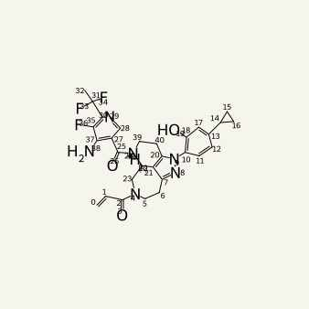 C=CC(=O)N1CCc2nn(-c3ccc(C4CC4)cc3O)c3c2[C@H](C1)N(C(=O)c1cnc(C(C)(F)F)c(F)c1N)CC3